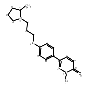 CCn1nc(-c2ccc(OCCCN3CCCC3C)cc2)ccc1=O